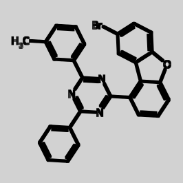 Cc1cccc(-c2nc(-c3ccccc3)nc(-c3cccc4oc5ccc(Br)cc5c34)n2)c1